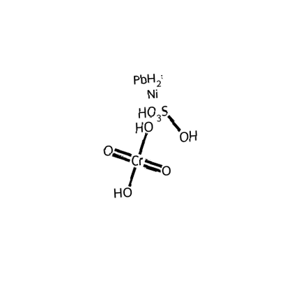 O=S(=O)(O)O.[Ni].[O]=[Cr](=[O])([OH])[OH].[PbH2]